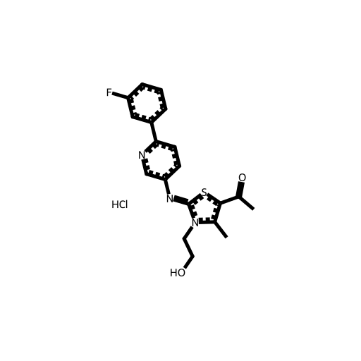 CC(=O)c1s/c(=N\c2ccc(-c3cccc(F)c3)nc2)n(CCO)c1C.Cl